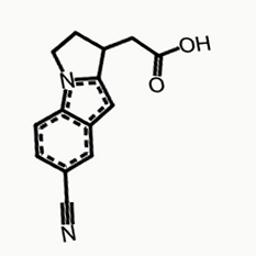 N#Cc1ccc2c(c1)cc1n2CCC1CC(=O)O